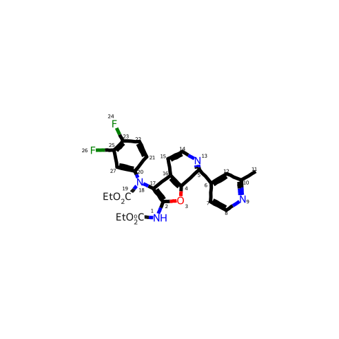 CCOC(=O)Nc1oc2c(-c3ccnc(C)c3)nccc2c1N(C(=O)OCC)c1ccc(F)c(F)c1